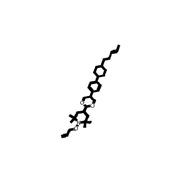 C=CCON1C(C)(C)CC(C2OCC(c3ccc(C4CCC(CC/C=C/C)CC4)cc3)CO2)CC1(C)C